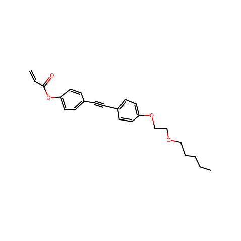 C=CC(=O)Oc1ccc(C#Cc2ccc(OCCOCCCCC)cc2)cc1